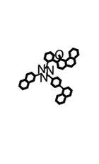 c1ccc2cc(-c3nc(-c4ccc(-c5cccc6ccccc56)cc4)nc(-c4cccc5oc6c(ccc7ccc8ccccc8c76)c45)n3)ccc2c1